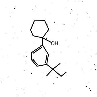 CCC(C)(C)c1cccc(C2(O)CCCCC2)c1